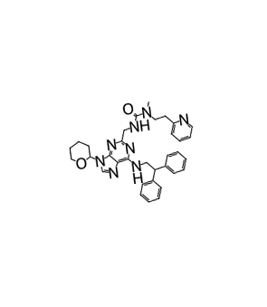 CN(CCc1ccccn1)C(=O)NCc1nc(NCC(c2ccccc2)c2ccccc2)c2ncn(C3CCCCO3)c2n1